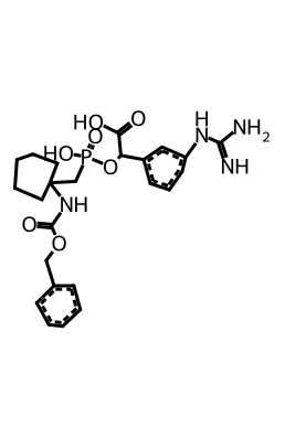 N=C(N)Nc1cccc(C(OP(=O)(O)CC2(NC(=O)OCc3ccccc3)CCCCC2)C(=O)O)c1